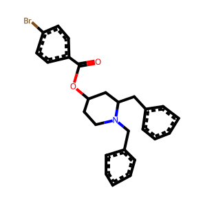 O=C(OC1CCN(Cc2ccccc2)C(Cc2ccccc2)C1)c1ccc(Br)cc1